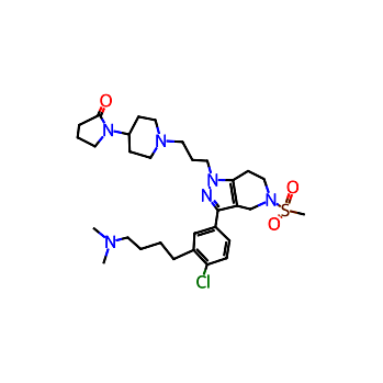 CN(C)CCCCc1cc(-c2nn(CCCN3CCC(N4CCCC4=O)CC3)c3c2CN(S(C)(=O)=O)CC3)ccc1Cl